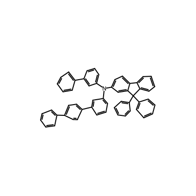 c1ccc(-c2ccc(-c3cccc(N(c4cccc(-c5ccccc5)c4)c4ccc5c(c4)C(c4ccccc4)(c4ccccc4)c4ccccc4-5)c3)cc2)cc1